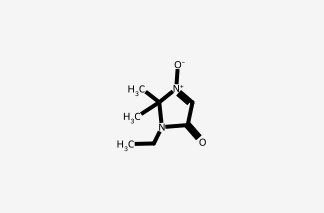 CCN1C(=O)C=[N+]([O-])C1(C)C